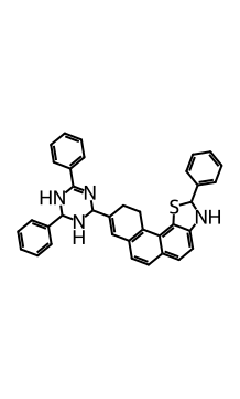 C1=C(C2N=C(c3ccccc3)NC(c3ccccc3)N2)CCc2c1ccc1ccc3c(c21)SC(c1ccccc1)N3